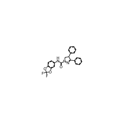 O=C(Nc1ccc2c(c1)OC(F)(F)O2)N1CC(c2ccccc2)C(c2ccccc2)=N1